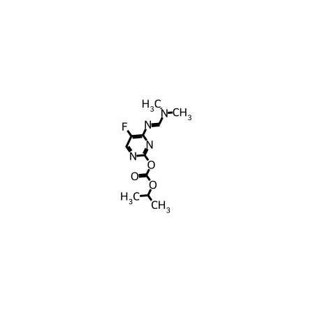 CC(C)OC(=O)Oc1ncc(F)c(/N=C/N(C)C)n1